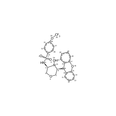 O=S(=O)(N[C@@H]1COC[C@H](N2c3ccccc3Oc3ccccc32)N1O)c1ccc(OC(F)(F)F)cc1